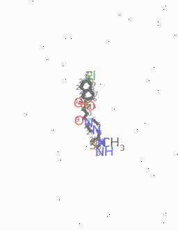 Cn1c(CN2CCN(C(=O)CCS(=O)(=O)c3ccc4cc(Cl)ccc4c3)CC2)csc1=N